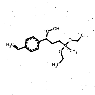 C=Cc1ccc(C(CC[Si](C)(OCC)OCC)OO)cc1